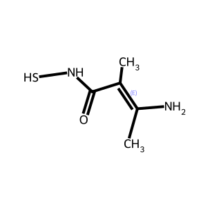 C/C(N)=C(/C)C(=O)NS